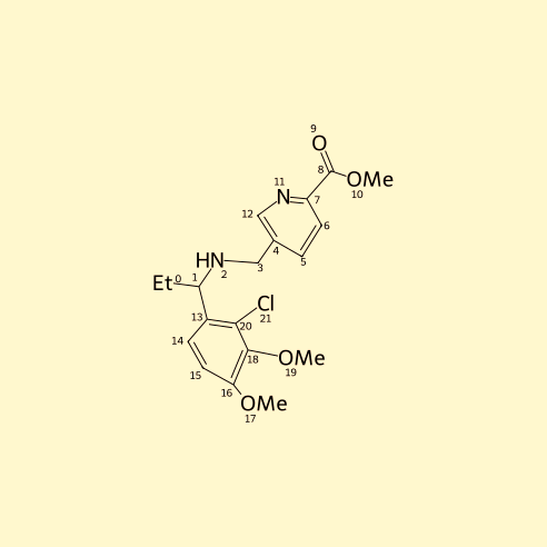 CCC(NCc1ccc(C(=O)OC)nc1)c1ccc(OC)c(OC)c1Cl